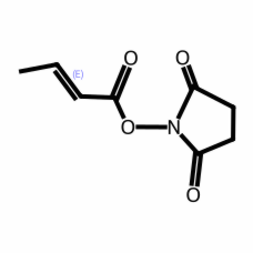 C/C=C/C(=O)ON1C(=O)CCC1=O